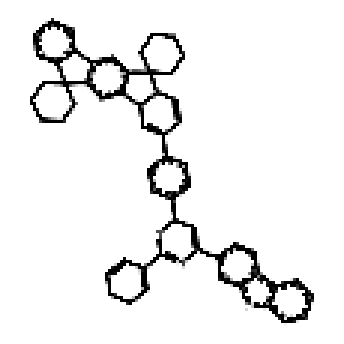 C1=CC(C2=NC(c3ccc4c(c3)oc3ccccc34)=CC(c3ccc(C4=CC5c6cc7c(cc6C6(CCCCC6)C5C=C4)-c4ccccc4C74CCCCC4)cc3)N2)=CCC1